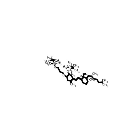 C=C1CC(OCCCO[Si](C)(C)C(C)(C)C)C(O[Si](C)(C)C(C)(C)C)CC1=CC=C1CCC[C@]2(C)[C@@H]([C@H](C)CCCC(C)C)CC[C@@H]12